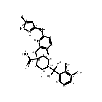 Cc1cc(Nc2ccc(F)c(C[C@@]3(C(=O)O)CCN(C(F)(F)c4cccc(Cl)c4F)[C@H](C)C3)n2)n[nH]1